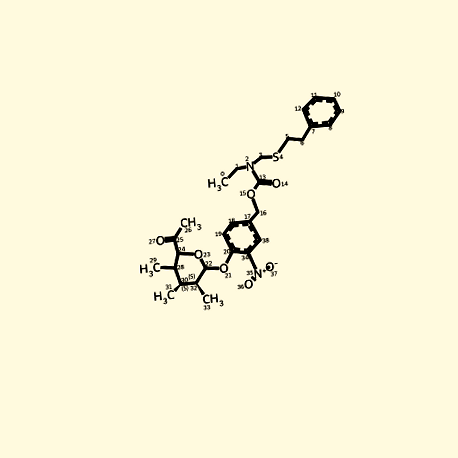 CCN(CSCCc1ccccc1)C(=O)OCc1ccc(OC2OC(C(C)=O)C(C)[C@H](C)[C@@H]2C)c([N+](=O)[O-])c1